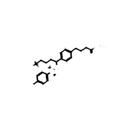 COC(=O)CCCc1ccc(C(CCCC(F)(F)C(F)(F)F)NS(=O)(=O)c2ccc(Cl)cc2)cc1